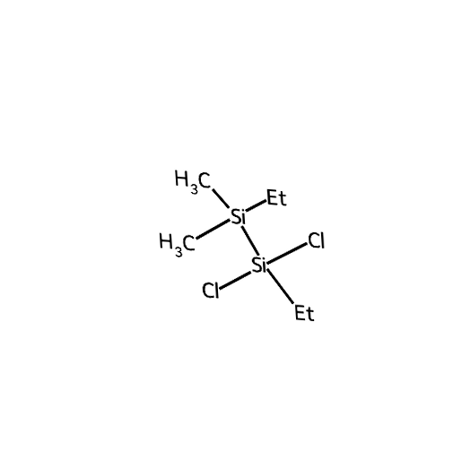 CC[Si](C)(C)[Si](Cl)(Cl)CC